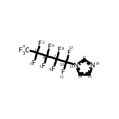 FC(F)(F)C(F)(F)C(F)(F)C(F)(F)C(F)(F)n1ccnc1